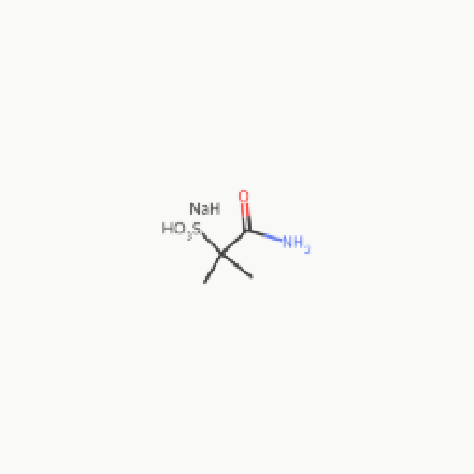 CC(C)(C(N)=O)S(=O)(=O)O.[NaH]